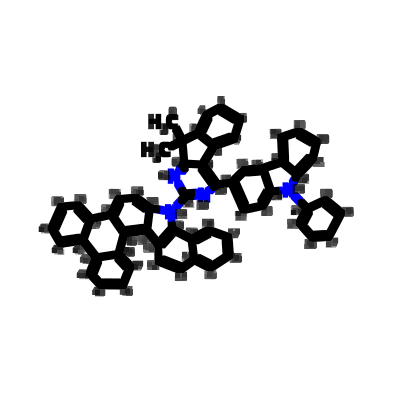 CC1(C)c2ccccc2-c2c(-c3ccc4c(c3)c3ccccc3n4-c3ccccc3)nc(-n3c4ccc5c6ccccc6c6ccccc6c5c4c4ccc5ccccc5c43)nc21